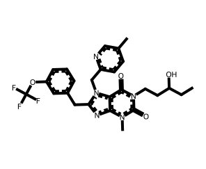 CCC(O)CCn1c(=O)c2c(nc(Cc3cccc(OC(F)(F)F)c3)n2Cc2ccc(C)cn2)n(C)c1=O